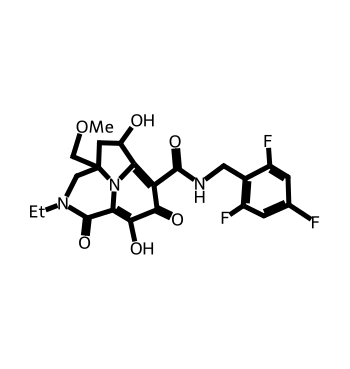 CCN1CC2(COC)CC(O)c3c(C(=O)NCc4c(F)cc(F)cc4F)c(=O)c(O)c(n32)C1=O